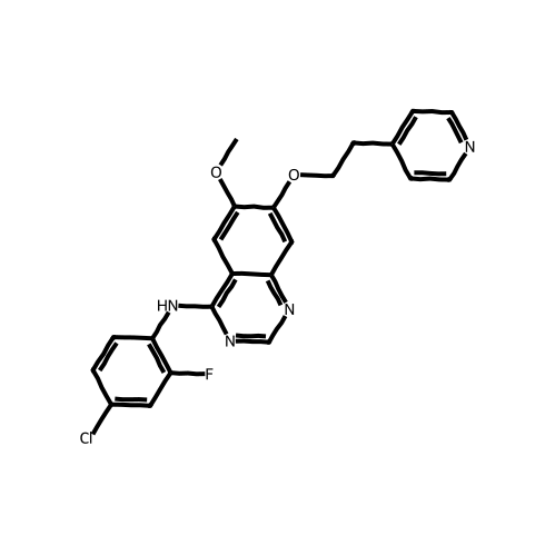 COc1cc2c(Nc3ccc(Cl)cc3F)ncnc2cc1OCCc1ccncc1